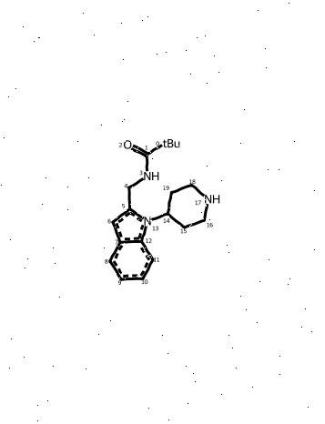 CC(C)(C)C(=O)NCc1cc2ccccc2n1C1CCNCC1